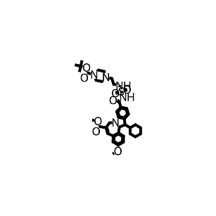 COC(=O)C1=Cc2cc(OC)ccc2C2C(C3CCCCC3)c3ccc(C(=O)NS(=O)(=O)NCCN4CCN(C(=O)OC(C)(C)C)CC4)cc3N2C1